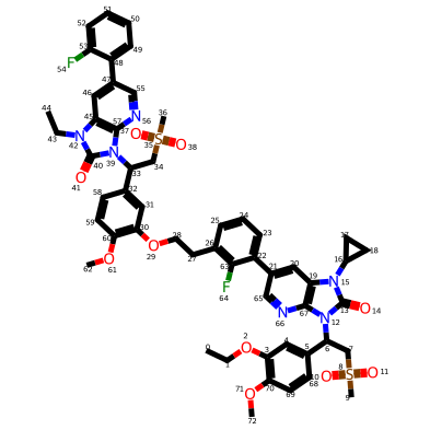 CCOc1cc(C(CS(C)(=O)=O)n2c(=O)n(C3CC3)c3cc(-c4cccc(CCOc5cc(C(CS(C)(=O)=O)n6c(=O)n(CC)c7cc(-c8ccccc8F)cnc76)ccc5OC)c4F)cnc32)ccc1OC